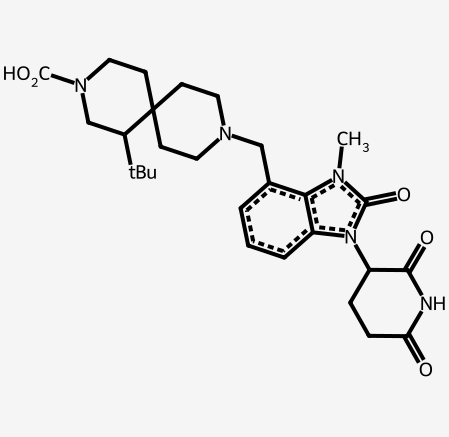 Cn1c(=O)n(C2CCC(=O)NC2=O)c2cccc(CN3CCC4(CC3)CCN(C(=O)O)CC4C(C)(C)C)c21